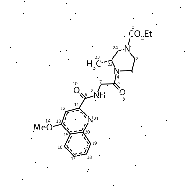 CCOC(=O)N1CCN(C(=O)CNC(=O)c2cc(OC)c3ccccc3n2)C(C)C1